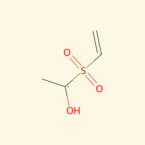 C=CS(=O)(=O)[C](C)O